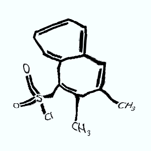 Cc1cc2ccccc2c(S(=O)(=O)Cl)c1C